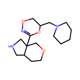 C1CCN(CC2CON=C(C34CNCC3CCOC4)O2)CC1